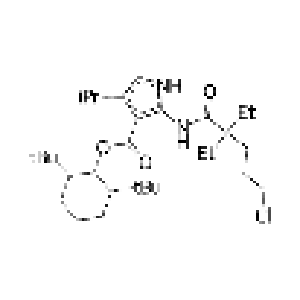 CCC(CC)(CCCCl)C(=O)Nc1[nH]cc(C(C)C)c1C(=O)OC1C(C(C)(C)C)CCCC1C(C)(C)C